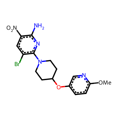 COc1ccc(OC2CCN(c3nc(N)c([N+](=O)[O-])cc3Br)CC2)cn1